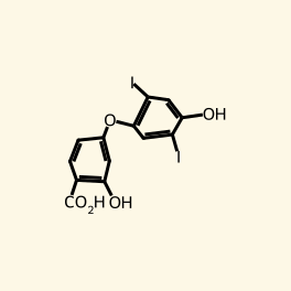 O=C(O)c1ccc(Oc2cc(I)c(O)cc2I)cc1O